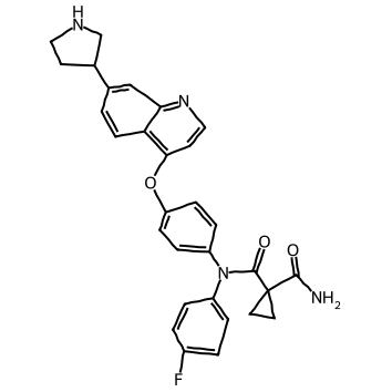 NC(=O)C1(C(=O)N(c2ccc(F)cc2)c2ccc(Oc3ccnc4cc(C5CCNC5)ccc34)cc2)CC1